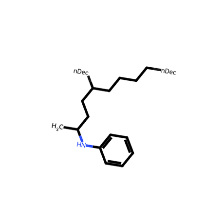 CCCCCCCCCCCCCCC(CCCCCCCCCC)CCC(C)Nc1ccccc1